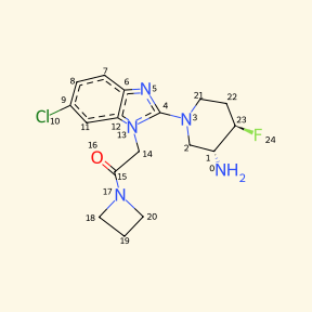 N[C@@H]1CN(c2nc3ccc(Cl)cc3n2CC(=O)N2CCC2)CC[C@H]1F